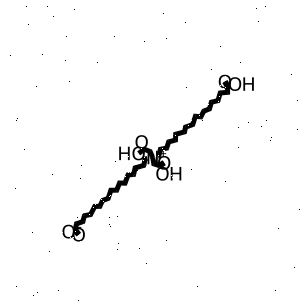 O=C([O-])CCCCCCCCCCCCCCCCC[N+](CCCCCCCCCCCCCCCCCC(=O)O)(CC(=O)O)CC(=O)O